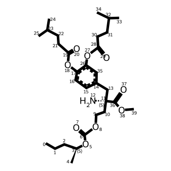 CCC[C@H](C)OC(=O)OCC[C@@](N)(Cc1ccc(OC(=O)CCC(C)C)c(OC(=O)CCC(C)C)c1)C(=O)OC